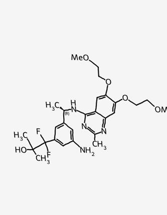 COCCOc1cc2nc(C)nc(N[C@H](C)c3cc(N)cc(C(F)(F)C(C)(C)O)c3)c2cc1OCCOC